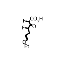 CCOC=CCC(F)C(=O)C(F)C(=O)O